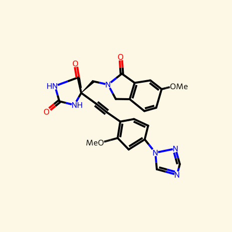 COc1ccc2c(c1)C(=O)N(C[C@@]1(C#Cc3ccc(-n4cncn4)cc3OC)NC(=O)NC1=O)C2